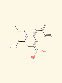 C=CCCN(CCC)C(/C=C(\C)C(=O)O)=C/C(=C)C=C